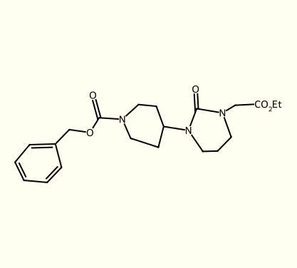 CCOC(=O)CN1CCCN(C2CCN(C(=O)OCc3ccccc3)CC2)C1=O